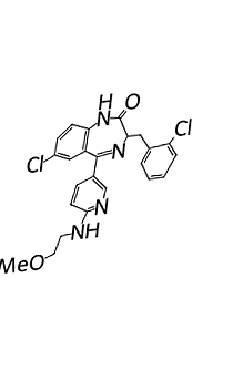 COCCNc1ccc(C2=NC(Cc3ccccc3Cl)C(=O)Nc3ccc(Cl)cc32)cn1